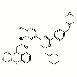 CC(C)(C)c1ccc(CCC(CC2CCCCC2)OC(=O)c2ccc(CN3CCOCC3)cc2)cc1NC(=O)CC1c2ccccc2Oc2ccccc21